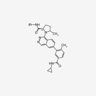 Cc1ccc(C(=O)NC2CC2)cc1-c1ccc2c(N3C(C)CC[C@@H]3C(=O)NC(C)C)nncc2c1